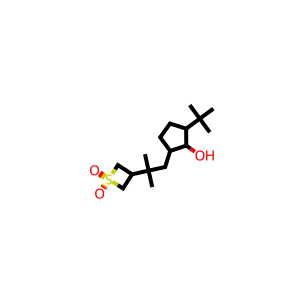 CC(C)(C)C1CCC(CC(C)(C)C2CS(=O)(=O)C2)C1O